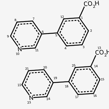 O=C(O)c1cccc(-c2cccnc2)c1.O=C(O)c1cccc(-c2cccnc2)c1